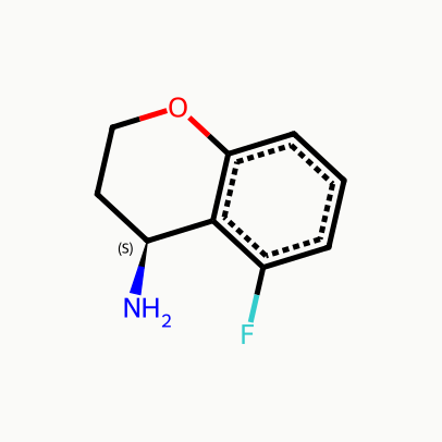 N[C@H]1CCOc2cccc(F)c21